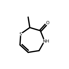 CC1SC=CCNC1=O